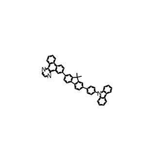 CC1(C)c2cc(-c3ccc(-n4c5ccccc5c5ccccc54)cc3)ccc2-c2ccc(-c3ccc4c5ccccc5c5nccnc5c4c3)cc21